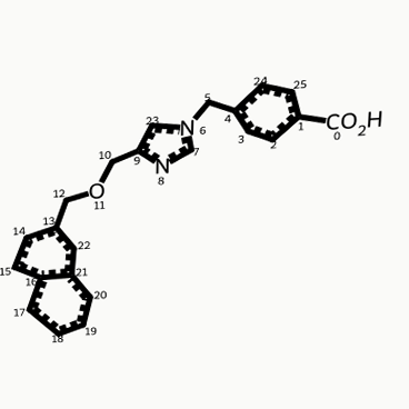 O=C(O)c1ccc(Cn2cnc(COCc3ccc4ccccc4c3)c2)cc1